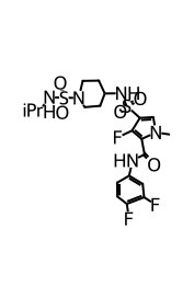 CC(C)NS(=O)(=O)N1CCC(NS(=O)(=O)c2cn(C)c(C(=O)Nc3ccc(F)c(F)c3)c2F)CC1